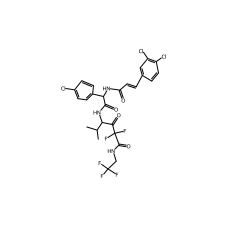 CC(C)C(NC(=O)C(NC(=O)C=Cc1ccc(Cl)c(Cl)c1)c1ccc(Cl)cc1)C(=O)C(F)(F)C(=O)NCC(F)(F)F